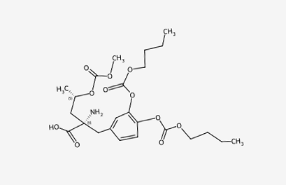 CCCCOC(=O)Oc1ccc(C[C@](N)(C[C@H](C)OC(=O)OC)C(=O)O)cc1OC(=O)OCCCC